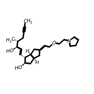 CC#CC[C@@H](C)[C@H](O)C=C[C@@H]1[C@H]2CC(=CCOCCN3CCCC3)C[C@H]2C[C@H]1O